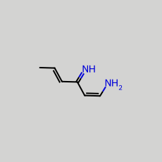 C/C=C/C(=N)/C=C\N